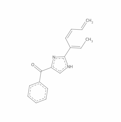 C=C/C=C\C(=C/C)c1nc(C(=O)c2ccccc2)c[nH]1